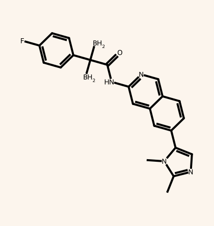 BC(B)(C(=O)Nc1cc2cc(-c3cnc(C)n3C)ccc2cn1)c1ccc(F)cc1